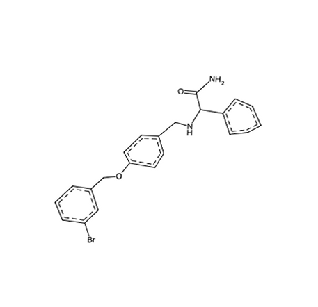 NC(=O)C(NCc1ccc(OCc2cccc(Br)c2)cc1)c1ccccc1